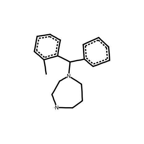 Cc1ccccc1C(c1ccccc1)N1CCC[N]CC1